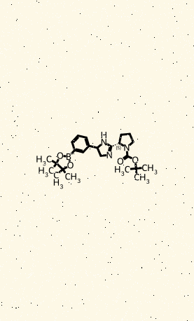 CC(C)(C)OC(=O)N1CCC[C@H]1C1=NCC(c2cccc(B3OC(C)(C)C(C)(C)O3)c2)N1